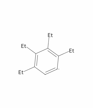 CCc1[c]cc(CC)c(CC)c1CC